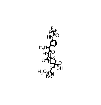 Cn1nnnc1SCC1(C(=O)O)CS[C@@H]2C(NC(=O)C(N)c3cccc(NC(=O)C(F)(F)F)c3)C(=O)N2C1